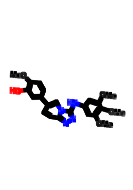 COc1ccc(-c2ccc3nnc(Nc4cc(OC)c(OC)c(OC)c4)n3c2)cc1O